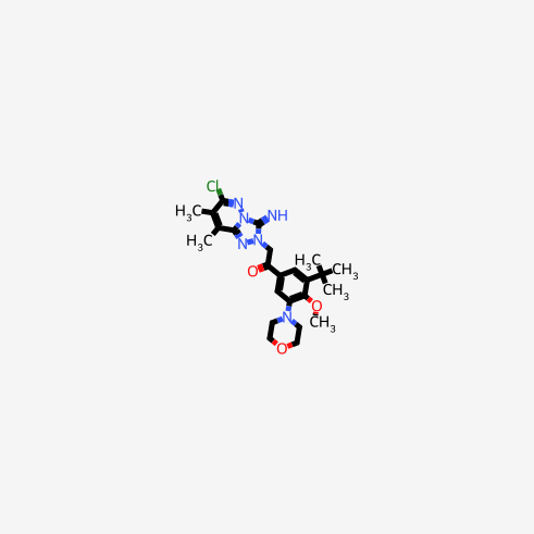 COc1c(N2CCOCC2)cc(C(=O)Cn2nc3c(C)c(C)c(Cl)nn3c2=N)cc1C(C)(C)C